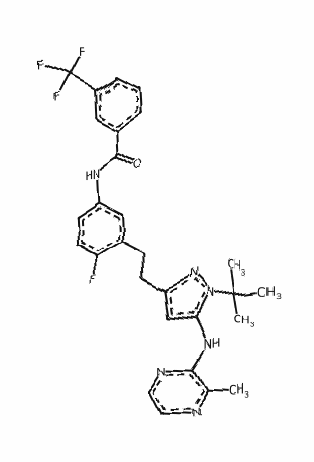 Cc1nccnc1Nc1cc(CCc2cc(NC(=O)c3cccc(C(F)(F)F)c3)ccc2F)nn1C(C)(C)C